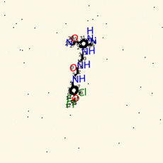 O=C(CCNCc1ccc(OC(F)(F)F)c(Cl)c1)NCCCNc1cc(-c2cnco2)cc2[nH]ncc12